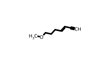 C#CC=CCCCOC